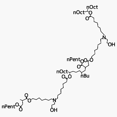 CCCCCCCCC(CCCCCCCC)OC(=O)CCCCCCCN(CCO)CCCCCCCOC(=O)CC(CC(CCCC)CCCC(CCCCCCCC)OC(=O)CCCCCCCN(CCO)CCCCCCCOC(=O)C(C)CC(=O)OCCCCC)C(=O)OCCCCC